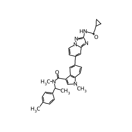 Cc1ccc(C(C)N(C)C(=O)c2cn(C)c3ccc(-c4ccn5nc(NC(=O)C6CC6)nc5c4)cc23)cc1